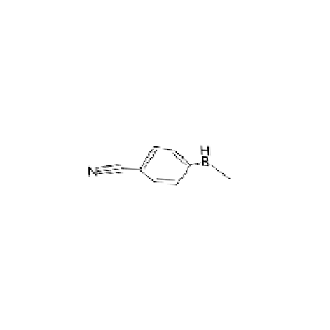 CBc1ccc(C#N)cc1